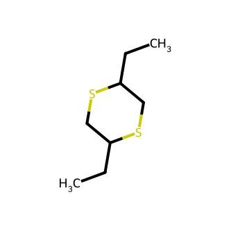 CCC1CSC(CC)CS1